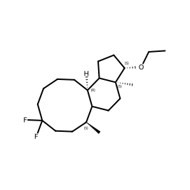 CCO[C@H]1CCC2[C@@H]3CCCCC(F)(F)CC[C@H](C)C3CC[C@@]21C